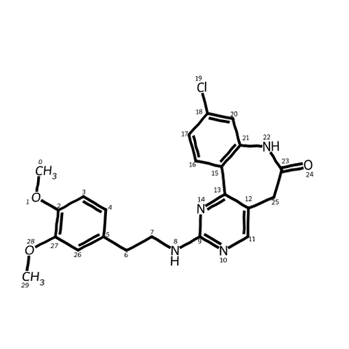 COc1ccc(CCNc2ncc3c(n2)-c2ccc(Cl)cc2NC(=O)C3)cc1OC